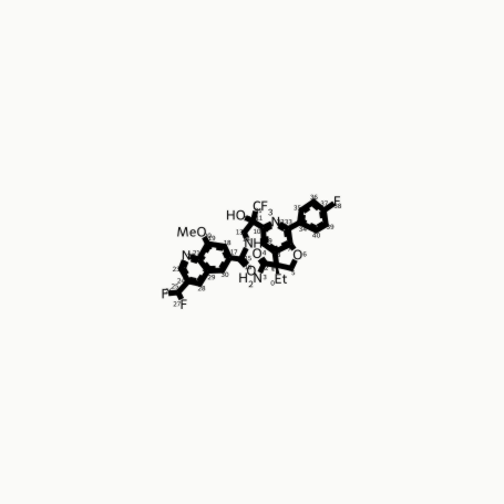 CC[C@]1(C(N)=O)COc2c1cc(C(O)(CNC(=O)c1cc(OC)c3ncc(C(F)F)cc3c1)C(F)(F)F)nc2-c1ccc(F)cc1